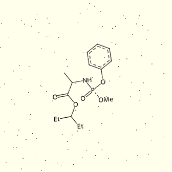 CCC(CC)OC(=O)C(C)NP(=O)(OC)Oc1ccccc1